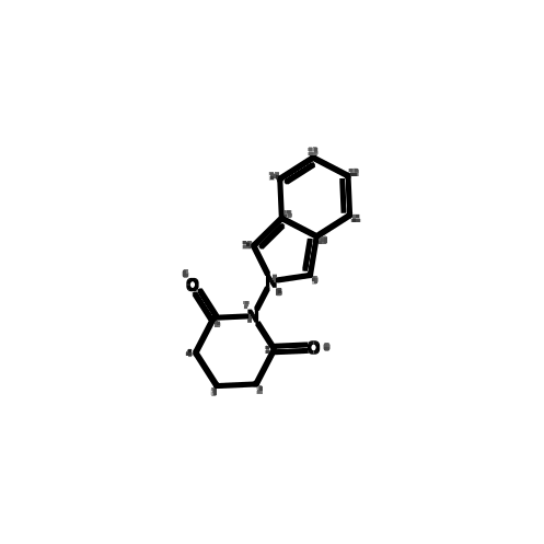 O=C1CCCC(=O)N1n1cc2ccccc2c1